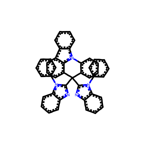 c1ccc(-n2c(C3(c4nc5ccccc5n4-c4ccccc4)c4ccccc4-n4c5ccccc5c5cccc3c54)nc3ccccc32)cc1